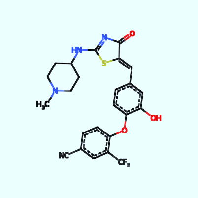 CN1CCC(NC2=NC(=O)/C(=C/c3ccc(Oc4ccc(C#N)cc4C(F)(F)F)c(O)c3)S2)CC1